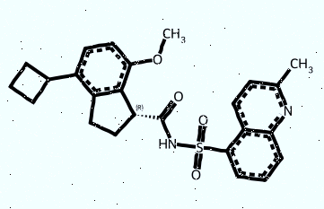 COc1ccc(C2CCC2)c2c1[C@H](C(=O)NS(=O)(=O)c1cccc3nc(C)ccc13)CC2